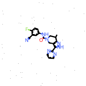 CC1CN(C(=O)Nc2ccc(F)c(C#N)c2)Cc2c1n[nH]c2-c1ncccn1